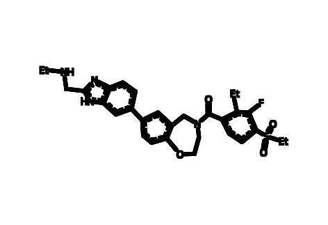 CCNCc1nc2ccc(-c3ccc4c(c3)CN(C(=O)c3ccc(S(=O)(=O)CC)c(F)c3CC)CCO4)cc2[nH]1